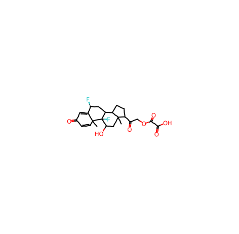 CC12CC(O)[C@@]3(F)C(C[C@H](F)C4=CC(=O)C=CC43C)C1CCC2C(=O)COC(=O)C(=O)O